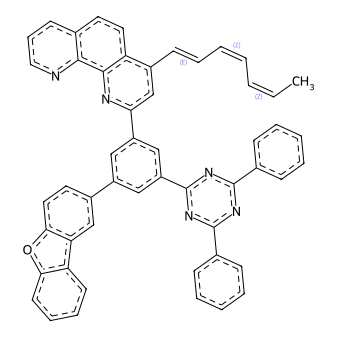 C\C=C/C=C\C=C\c1cc(-c2cc(-c3ccc4oc5ccccc5c4c3)cc(-c3nc(-c4ccccc4)nc(-c4ccccc4)n3)c2)nc2c1ccc1cccnc12